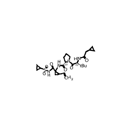 C=CC1CC1(NC(=O)[C@@H]1CCCN1C(=O)[C@@H](NC(=O)CC1CC1)C(C)(C)C)C(=O)NS(=O)(=O)C1CC1